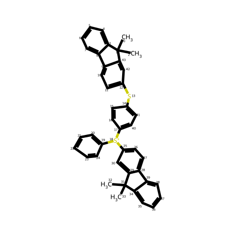 CC1(C)c2ccccc2-c2ccc(Sc3ccc([S+](c4ccccc4)c4ccc5c(c4)C(C)(C)c4ccccc4-5)cc3)cc21